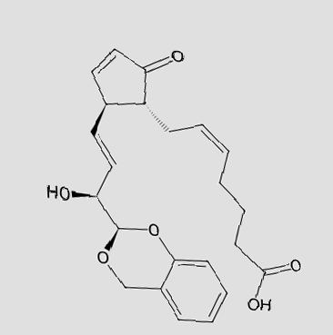 O=C(O)CCC/C=C\C[C@H]1C(=O)C=C[C@@H]1/C=C/[C@H](O)[C@@H]1OCc2ccccc2O1